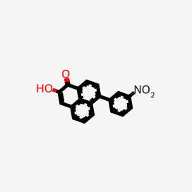 O=C1C(O)=Cc2cccc3c(-c4cccc([N+](=O)[O-])c4)ccc1c23